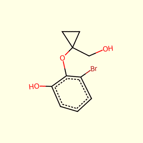 OCC1(Oc2c(O)cccc2Br)CC1